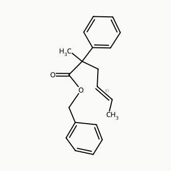 C/C=C/CC(C)(C(=O)OCc1ccccc1)c1ccccc1